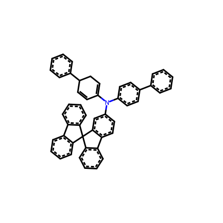 C1=CC(c2ccccc2)CC=C1N(c1ccc(-c2ccccc2)cc1)c1ccc2c(c1)C1(c3ccccc3-c3ccccc31)c1ccccc1-2